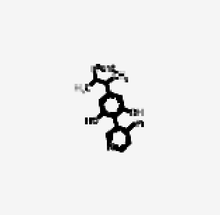 CCCCCC(C)C(C)c1cc(O)c(-c2cnccc2C(C)C)c(O)c1